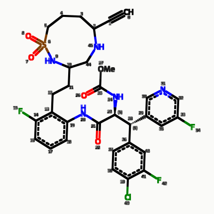 C#CC1CCCS(=O)(=O)NC(CCc2c(F)cccc2NC(=O)[C@@H](NC(=O)OC)[C@H](c2cncc(F)c2)c2ccc(Cl)c(F)c2)CN1